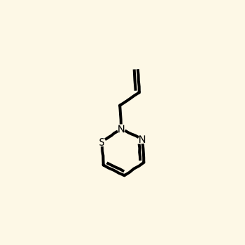 C=CCN1N=CC=CS1